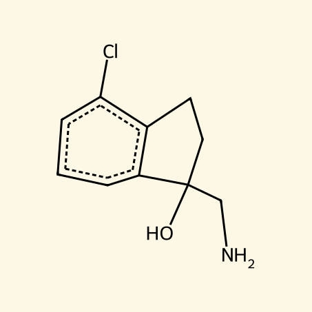 NCC1(O)CCc2c(Cl)cccc21